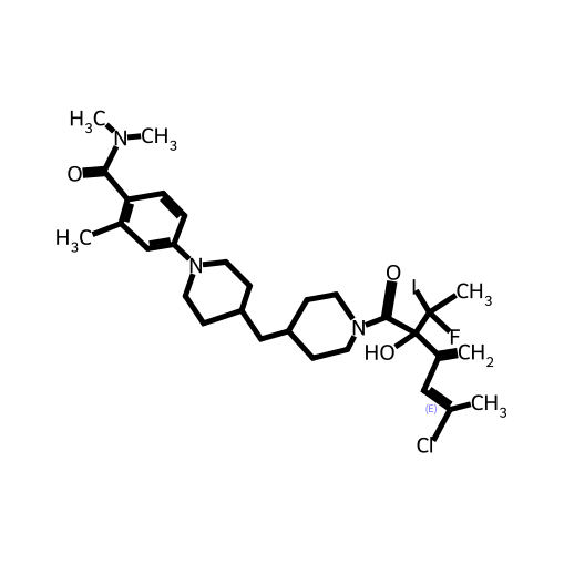 C=C(/C=C(\C)Cl)C(O)(C(=O)N1CCC(CC2CCN(c3ccc(C(=O)N(C)C)c(C)c3)CC2)CC1)C(C)(F)I